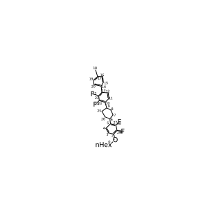 CCCCCCOc1ccc(C2CCC(c3ccc(-c4ccc(C)cc4)c(F)c3F)CC2)c(F)c1F